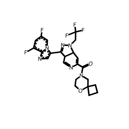 O=C(C1=CC2C(C=N1)C(c1cnc3c(F)cc(F)cn13)=NN2CC(F)(F)F)N1CCOC2(CCC2)C1